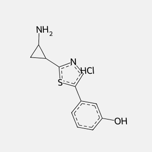 Cl.NC1CC1c1ncc(-c2cccc(O)c2)s1